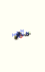 O=C(NCCCc1ccc(F)nc1)c1ccnc2[nH]c(-c3cccs3)nc12